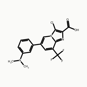 CN(C)c1cccc(-c2cc(C(F)(F)F)c3nc(C(=O)O)c(Cl)n3c2)c1